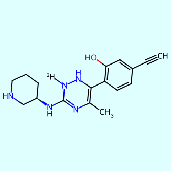 [2H]N1NC(c2ccc(C#C)cc2O)=C(C)N=C1N[C@@H]1CCCNC1